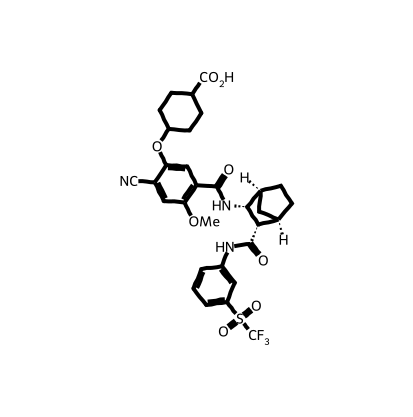 COc1cc(C#N)c(OC2CCC(C(=O)O)CC2)cc1C(=O)N[C@@H]1[C@H]2CC[C@H](C2)[C@@H]1C(=O)Nc1cccc(S(=O)(=O)C(F)(F)F)c1